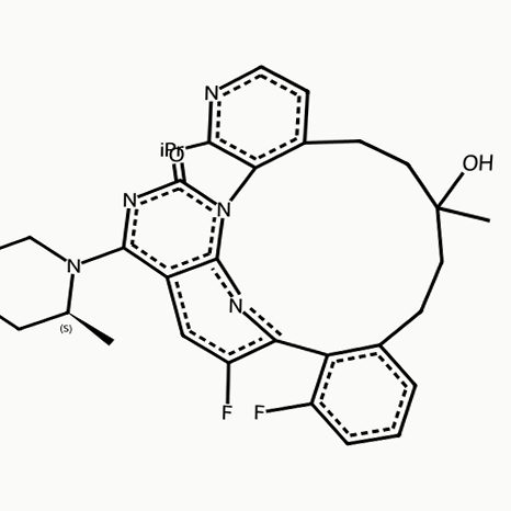 CC(C)c1nccc2c1-n1c(=O)nc(N3CCCC[C@@H]3C)c3cc(F)c(nc31)-c1c(F)cccc1CCC(C)(O)CC2